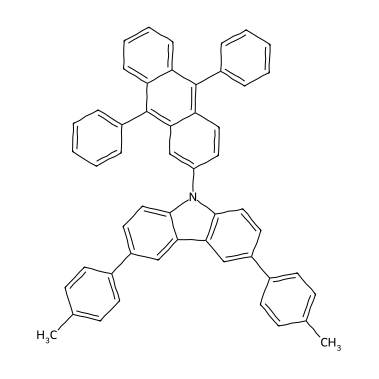 Cc1ccc(-c2ccc3c(c2)c2cc(-c4ccc(C)cc4)ccc2n3-c2ccc3c(-c4ccccc4)c4ccccc4c(-c4ccccc4)c3c2)cc1